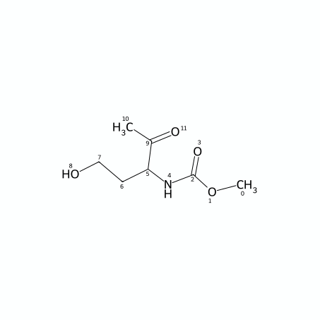 COC(=O)NC(CCO)C(C)=O